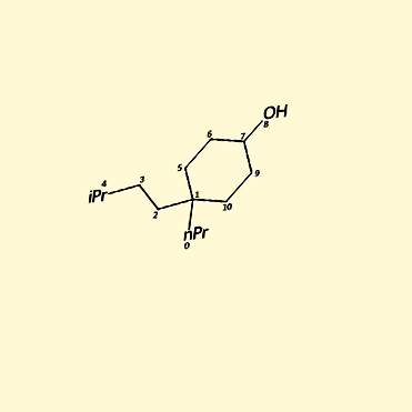 CCCC1(CCC(C)C)CCC(O)CC1